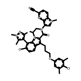 Cc1cc(OCCCc2c3n(c4c(-c5c(C)nn(C)c5C)c(Cl)ccc24)C(C)CN(c2cn(C)c4ccc(C#N)nc24)C3=O)cc(C)c1Cl